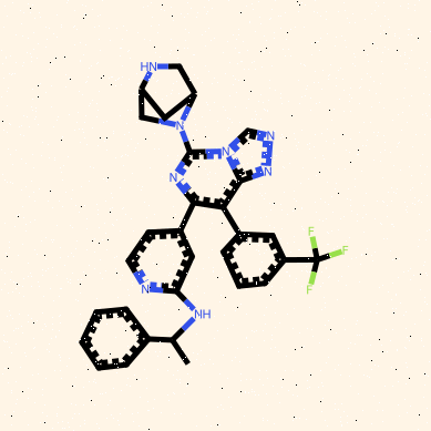 CC(Nc1cc(-c2nc(N3CC4CC3CN4)n3cnnc3c2-c2cccc(C(F)(F)F)c2)ccn1)c1ccccc1